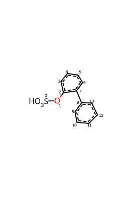 O=S(=O)(O)Oc1ccccc1-c1ccccc1